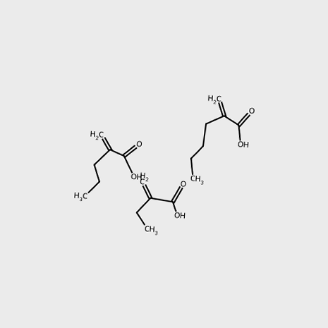 C=C(CC)C(=O)O.C=C(CCC)C(=O)O.C=C(CCCC)C(=O)O